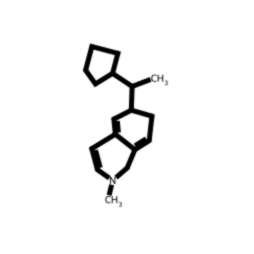 CC(C1C=C2C=CN(C)CC2=CC1)C1CCCC1